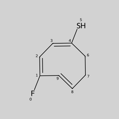 FC1=C/C=C(/S)CC\C=C\1